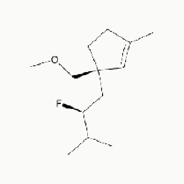 COC[C@]1(C[C@H](F)C(C)C)C=C(C)CC1